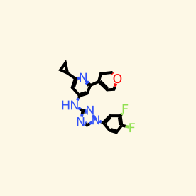 Fc1ccc(-n2cnc(Nc3cc(C4=CCOCC4)nc(C4CC4)c3)n2)cc1F